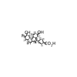 Cc1cc(-c2c(C(C)C)nc(-c3ccc(C(=O)O)cc3)c3cc(O)ccc23)ccc1F